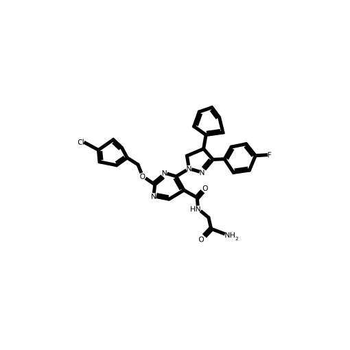 NC(=O)CNC(=O)c1cnc(OCc2ccc(Cl)cc2)nc1N1CC(c2ccccc2)C(c2ccc(F)cc2)=N1